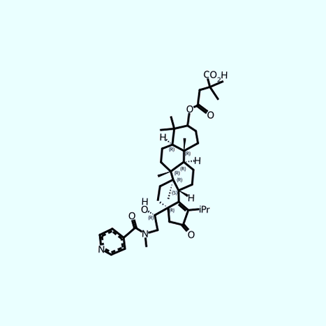 CC(C)C1=C2[C@H]3CC[C@@H]4[C@@]5(C)CCC(OC(=O)CC(C)(C)C(=O)O)C(C)(C)[C@@H]5CC[C@@]4(C)[C@]3(C)CC[C@@]2([C@@H](O)CN(C)C(=O)c2ccncc2)CC1=O